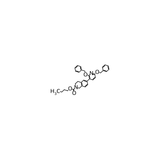 CCCCOC(=O)N1CCc2cc(-c3ccc(OCc4ccccc4)nc3OCc3ccccc3)ccc2C1